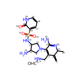 C=C1C(CNC=O)=C(N2CC(N)C(NS(=O)(=O)c3ccc[nH]c3=O)C2)C(N)=NC1C